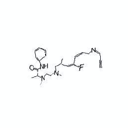 C#C/C=N\C/C=C\C(F)=C/C(C)CN(C)CCN(C)C(C)C(=O)Nc1ccccc1